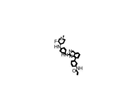 C=CC(=O)Nc1cccc(-c2cccc3cnc(Nc4ccc(N[C@@H]5CCN(C)C[C@H]5F)cc4)nc23)c1